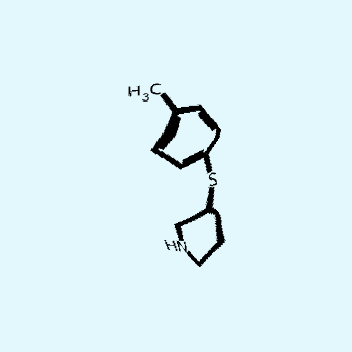 Cc1ccc(SC2CCNC2)cc1